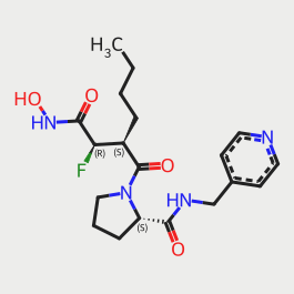 CCCC[C@@H](C(=O)N1CCC[C@H]1C(=O)NCc1ccncc1)[C@@H](F)C(=O)NO